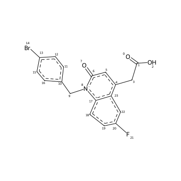 O=C(O)Cc1cc(=O)n(Cc2ccc(Br)cc2)c2ccc(F)cc12